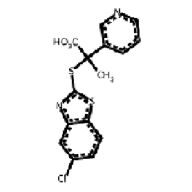 CC(Sc1nc2cc(Cl)ccc2s1)(C(=O)O)c1cccnc1